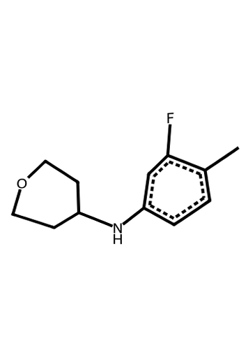 Cc1ccc(NC2CCOCC2)cc1F